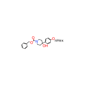 CCCCCCOc1ccc(C2(O)CCN(C(=O)OCc3ccccc3)CC2)cc1